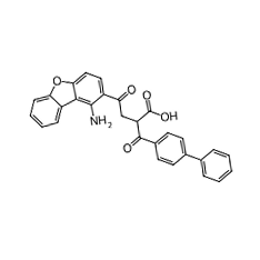 Nc1c(C(=O)CC(C(=O)O)C(=O)c2ccc(-c3ccccc3)cc2)ccc2oc3ccccc3c12